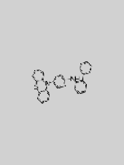 c1ccc(-c2ccccc2Nc2ccc(N3c4ccccc4Sc4ccccc43)cc2)cc1